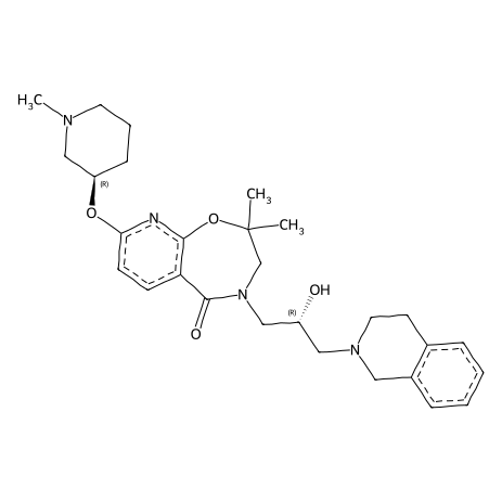 CN1CCC[C@@H](Oc2ccc3c(n2)OC(C)(C)CN(C[C@H](O)CN2CCc4ccccc4C2)C3=O)C1